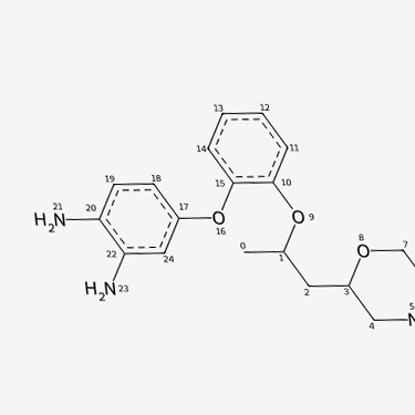 CC(CC1CNCCO1)Oc1ccccc1Oc1ccc(N)c(N)c1